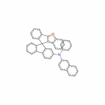 c1ccc(N(c2ccc3c(c2)C2(c4ccccc4-3)c3ccccc3-c3oc4ccccc4c32)c2ccc3ccccc3c2)cc1